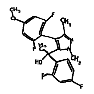 COc1cc(F)c(-c2c(C)nn(C)c2C(C)(O)c2ccc(F)cc2F)c(F)c1